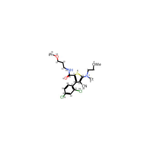 CCN(CCOC)c1sc(C(=O)NCCCOC(C)C)c(-c2ccc(Cl)cc2Cl)c1C#N